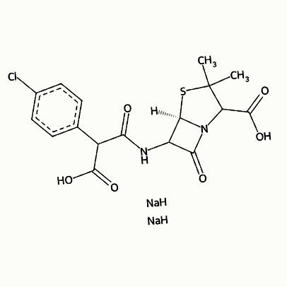 CC1(C)S[C@@H]2C(NC(=O)C(C(=O)O)c3ccc(Cl)cc3)C(=O)N2C1C(=O)O.[NaH].[NaH]